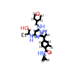 CCC(CO)Nc1cc(NCC2CCOCC2)n2ncc(-c3ccc(C(=O)NC4CC4)c(C)c3)c2n1